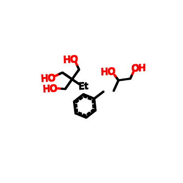 CC(O)CO.CCC(CO)(CO)CO.Cc1ccccc1